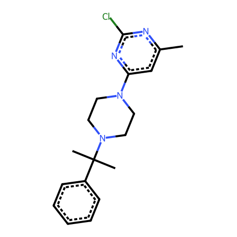 Cc1cc(N2CCN(C(C)(C)c3ccccc3)CC2)nc(Cl)n1